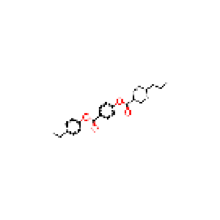 CCCC1CCC(C(=O)Oc2ccc(C(=O)Oc3ccc(CC)cc3)cc2)CC1